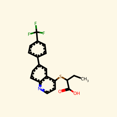 CCC(Sc1ccnc2ccc(-c3ccc(C(F)(F)F)cc3)cc12)C(=O)O